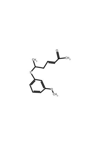 COc1cccc(SC(C)C/C=C/C(C)=O)c1